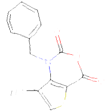 Cc1csc2c(=O)oc(=O)n(Cc3ccccc3)c12